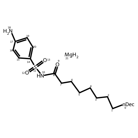 CCCCCCCCCCCCCCCCCC(=O)NS(=O)(=O)c1ccc(N)cc1.[MgH2]